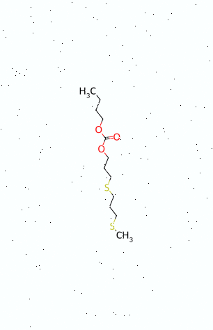 CCCCOC(=O)OCCCSCCCSC